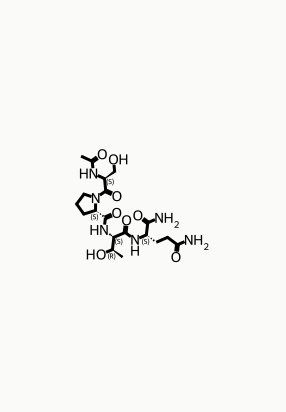 CC(=O)N[C@@H](CO)C(=O)N1CCC[C@H]1C(=O)N[C@H](C(=O)N[C@@H](CCC(N)=O)C(N)=O)[C@@H](C)O